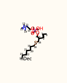 CC=CC(COP(=O)(O)OCC[N+](C)(C)C)CSCCCCCCCCCCCCCCCC